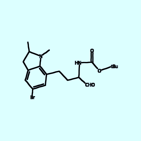 CC1Cc2cc(Br)cc(CCC(C=O)NC(=O)OC(C)(C)C)c2N1C